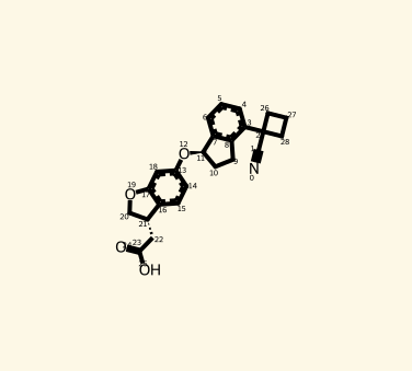 N#CC1(c2cccc3c2CC[C@H]3Oc2ccc3c(c2)OC[C@H]3CC(=O)O)CCC1